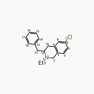 CCN1Cc2ccc(Cl)cc2CC1Cc1ccccc1